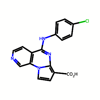 O=C(O)c1ccn2c1nc(Nc1ccc(Cl)cc1)c1ccncc12